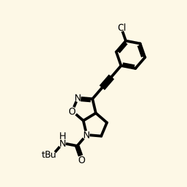 CC(C)(C)NC(=O)N1CCC2C(C#Cc3cccc(Cl)c3)=NOC21